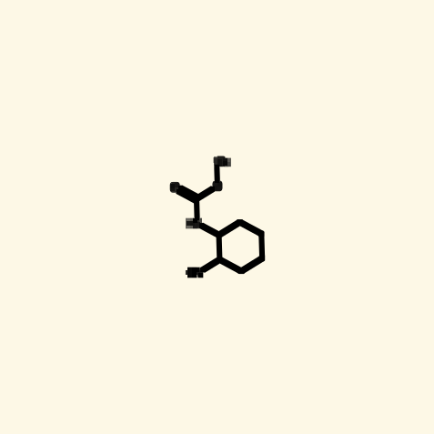 CC(C)(C)OC(=O)NC1CCCCC1[NH]